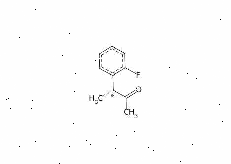 CC(=O)[C@H](C)c1ccccc1F